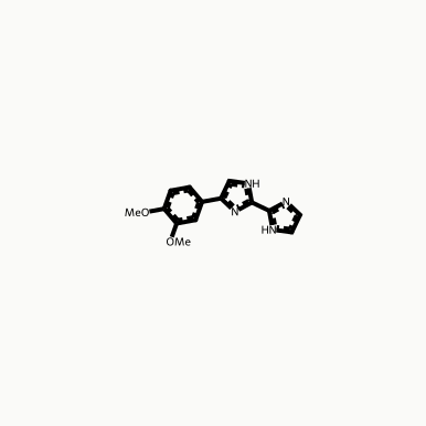 COc1ccc(-c2c[nH]c(-c3ncc[nH]3)n2)cc1OC